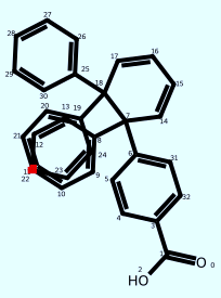 O=C(O)c1ccc(C2(c3ccccc3)C=CC=CC2(c2ccccc2)c2ccccc2)cc1